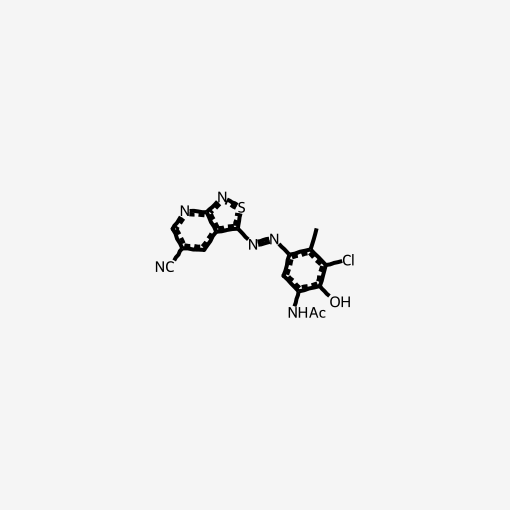 CC(=O)Nc1cc(/N=N/c2snc3ncc(C#N)cc23)c(C)c(Cl)c1O